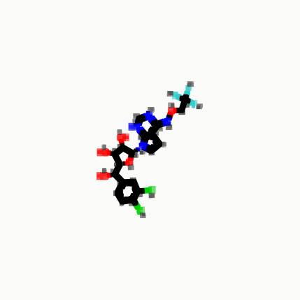 O[C@@H]1[C@H](O)[C@@H]([C@H](O)c2ccc(Cl)c(Cl)c2)O[C@H]1n1ccc2/c(=N/OCC(F)(F)F)nc[nH]c21